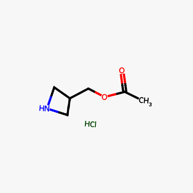 CC(=O)OCC1CNC1.Cl